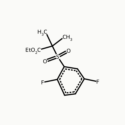 CCOC(=O)C(C)(C)S(=O)(=O)c1cc(F)ccc1F